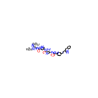 CCCC/N=C(\CCNC(=O)c1cc(NC(=O)c2cc(NC(=O)c3ccc(/C=C/c4cnc5ccccc5c4)cc3)cn2C)cn1C)NCCCC